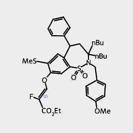 CCCCC1(CCCC)CC(c2ccccc2)c2cc(SC)c(O/C=C(\F)C(=O)OCC)cc2S(=O)(=O)N1Cc1ccc(OC)cc1